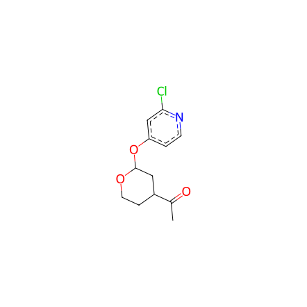 CC(=O)C1CCOC(Oc2ccnc(Cl)c2)C1